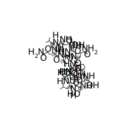 CC[C@H](C)[C@H](NC(=O)[C@H](CCC(N)=O)NC(=O)[C@@H](NC(=O)[C@@H](N)CC(=O)O)C(C)C)C(=O)N[C@H](C(=O)N[C@@H](CCC(N)=O)C(=O)N[C@@H](CO)C(=O)N1CCC[C@H]1C(=O)N[C@@H](CO)C(=O)N[C@@H](CO)C(=O)N[C@@H](CC(C)C)C(=O)N[C@@H](CO)C(=O)N[C@@H](C)C(=O)O)[C@@H](C)O